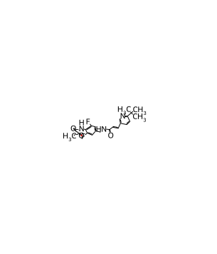 CC(C)(C)c1ccc(C=CC(=O)NCc2cc(F)c(NS(C)(=O)=O)c(F)c2)cn1